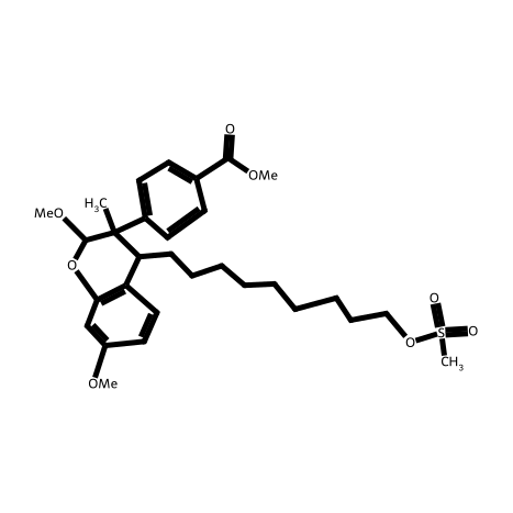 COC(=O)c1ccc(C2(C)C(OC)Oc3cc(OC)ccc3C2CCCCCCCCCOS(C)(=O)=O)cc1